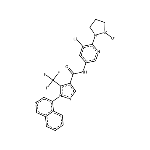 O=C(Nc1cnc(N2CCC[S+]2[O-])c(Cl)c1)c1cnn(-c2cncc3ccccc23)c1C(F)(F)F